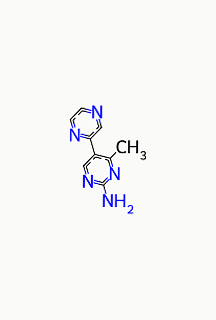 Cc1nc(N)ncc1-c1cnccn1